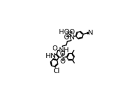 Cc1cc(C)cc(S(=O)(=O)c2c(C(=O)NCCCCN(c3ccc(C#N)cc3)S(=O)(=O)O)[nH]c3ccc(Cl)cc23)c1